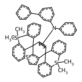 C[Si]1(C)c2ccccc2C2(c3ccccc31)c1cc(N(c3ccccc3)c3cccc(-c4ccccc4)c3)sc1C1(c3ccccc3[Si](C)(C)c3ccccc31)c1ccsc12